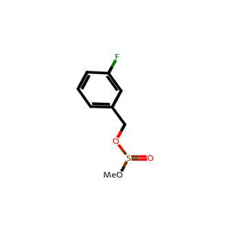 COS(=O)OCc1cccc(F)c1